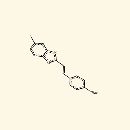 CNc1ccc(/C=C/c2nc3cc(F)ccc3o2)cc1